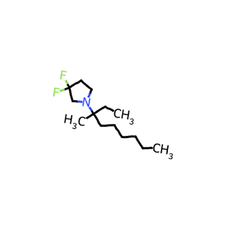 CCCCCCC(C)(CC)N1CCC(F)(F)C1